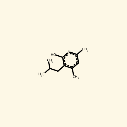 Cc1cc(C)c(CC(C)C)c(O)n1